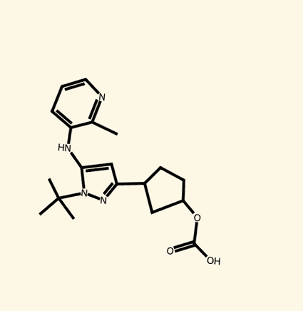 Cc1ncccc1Nc1cc(C2CCC(OC(=O)O)C2)nn1C(C)(C)C